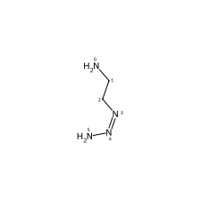 NCC/N=N\N